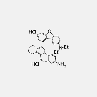 CCN(CC)c1ccc2oc3ccccc3c2c1.Cl.Cl.Nc1ccc2c(ccc3c4c(ccc32)CCCC4)c1